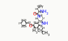 CC(C)=C[C@H](NC1CCN(C(=O)C(N)CC(C)C)CC1)c1ccc(OCc2ccccc2)cc1